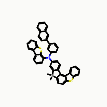 C[Si]1(C)c2cc(N(c3cccc(-c4ccc5ccccc5c4)c3)c3cccc4c3sc3ccccc34)ccc2-c2c1ccc1sc3ccccc3c21